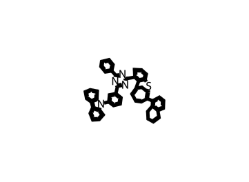 C1=CC(c2cccc3c2CCC=C3)=C2CC(=C1)c1c(cccc1-c1nc(-c3ccccc3)nc(-c3cccc(-n4c5ccccc5c5ccccc54)c3)n1)S2